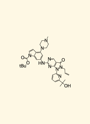 C=CCn1c(=O)c2cnc(Nc3cc(N4CCN(C)CC4)c4ccn(C(=O)OC(C)(C)C)c4c3)nc2n1-c1cccc(C(C)(C)O)n1